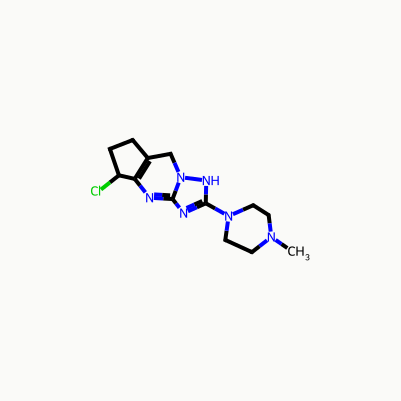 CN1CCN(C2=NC3=NC4=C(CCC4Cl)CN3N2)CC1